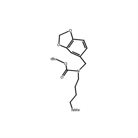 CNCCCCN(Cc1ccc2c(c1)OCO2)C(=O)OC(C)(C)C